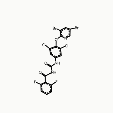 O=C(NC(=O)c1c(F)cccc1F)Nc1cc(Cl)c(Oc2ncc(Br)cc2Br)c(Cl)c1